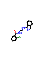 O=C(NCCNC1=NCc2ccccc21)c1ccccc1Br